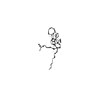 CCCCCCCC[C@]1([C@H](C)CCCC(C)C)CC[C@H]2[C@@H]3CCC4CCCC[C@]4(C)[C@H]3CC[C@@]21C